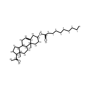 CCCCCCCCCC(=O)OC1CCC2(C)C(=CCC3C2CCC2(C)C(C(C)=O)CCC32)C1